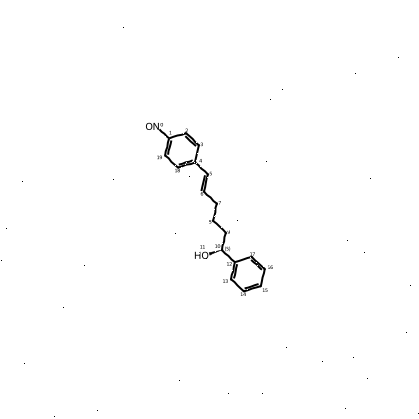 O=Nc1ccc(C=CCCC[C@H](O)c2ccccc2)cc1